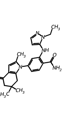 CCn1nccc1Nc1cc(-n2c(C)cc3c2CC(C)(C)CC3=O)ccc1C(N)=O